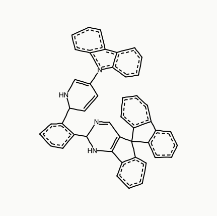 C1=CC(c2ccccc2C2N=CC3=C(N2)c2ccccc2C32c3ccccc3-c3ccccc32)NC=C1n1c2ccccc2c2ccccc21